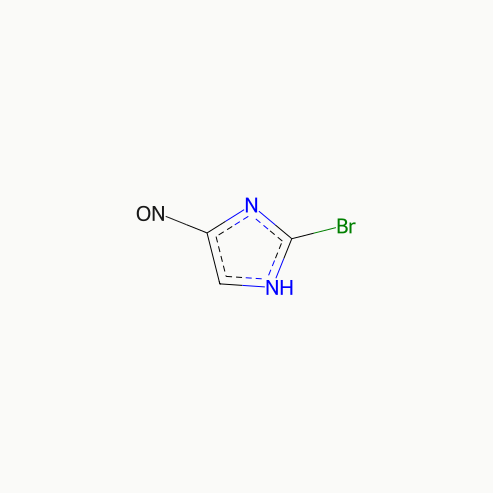 O=Nc1c[nH]c(Br)n1